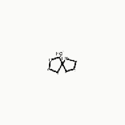 C1CNC2(C1)CCOC2.Cl